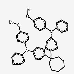 CCOc1ccc(N(c2ccccc2)c2ccc(C3(c4ccc(N(c5ccccc5)c5ccc(OCC)cc5)cc4)CCCCCC3)cc2)cc1